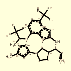 C=C[C@@H](Nc1nc2c(OC(C)C(F)(F)F)ccc(C(F)(F)F)n2n1)[C@H]1CCN(c2cc(C)no2)C1